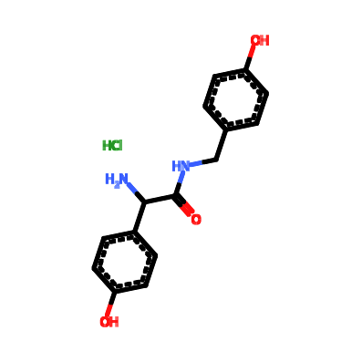 Cl.NC(C(=O)NCc1ccc(O)cc1)c1ccc(O)cc1